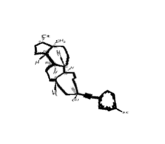 CC[C@H]1CC[C@H]2[C@@H]3CC[C@H]4C[C@@](O)(C#Cc5ccc(C(C)=O)cc5)CC[C@@H]4[C@H]3CC[C@]12C